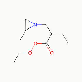 CCOOC(=O)C(CC)CN1CC1C